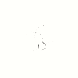 CC(C)(C)c1ccc(C(=O)O)cc1.OCC(CO)(CO)CO